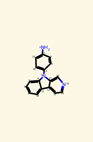 Nc1ccc(-n2c3ccccc3c3ccncc32)cc1